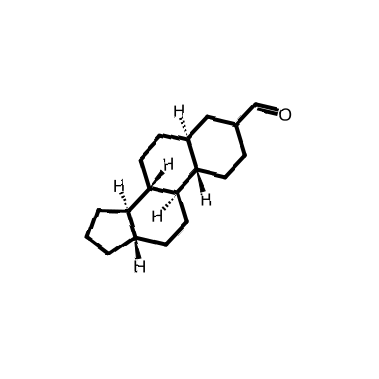 O=CC1CC[C@H]2[C@@H](CC[C@@H]3[C@@H]2CC[C@@H]2CCC[C@H]23)C1